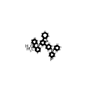 CC1(C)c2ccccc2N(c2cc(C3=CC=C(N(C4=CCCC=C4)c4ccc(F)cc4)CC3)c3sc4c(c3c2)=CCCCC=4)c2ccccc21